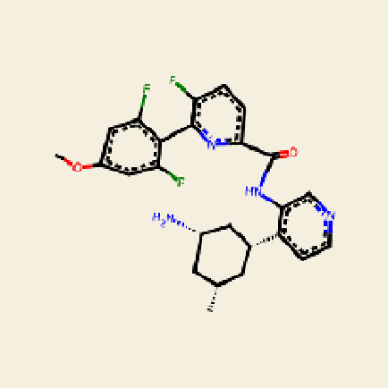 COc1cc(F)c(-c2nc(C(=O)Nc3cnccc3[C@@H]3C[C@H](C)C[C@H](N)C3)ccc2F)c(F)c1